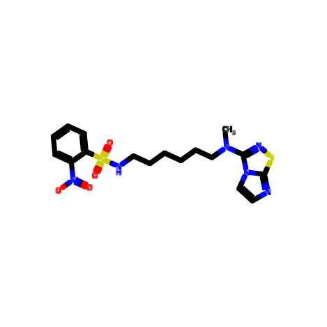 CN(CCCCCCNS(=O)(=O)c1ccccc1[N+](=O)[O-])c1nsc2nccn12